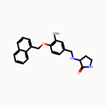 COc1cc(CNC2CCNC2=O)ccc1OCc1cccc2ccccc12